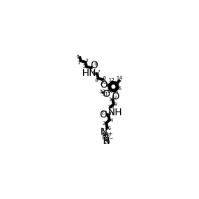 CCCCC(=O)NCCCOc1cc(C)cc(OCCCNC(=O)CCCN=[N+]=[N-])c1OC